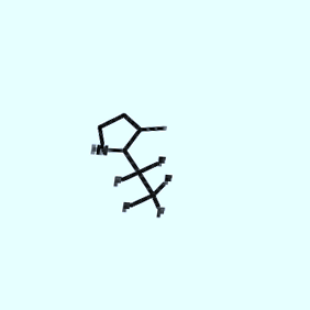 CC1CCNC1C(F)(F)C(F)(F)F